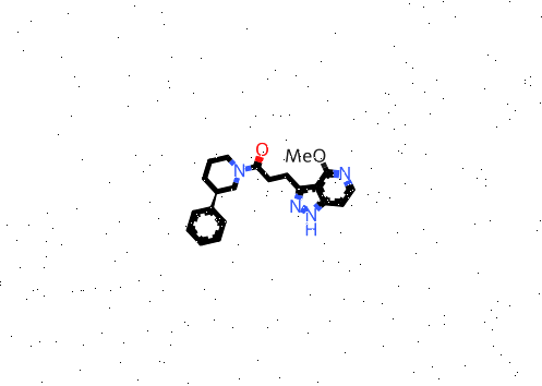 COc1nccc2[nH]nc(CCC(=O)N3CCC[C@H](c4ccccc4)C3)c12